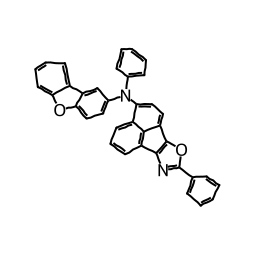 c1ccc(-c2nc3c(o2)-c2ccc(N(c4ccccc4)c4ccc5oc6ccccc6c5c4)c4cccc-3c24)cc1